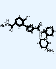 CCC(C)NC(=O)c1ccc(F)c(-c2nc(C(=O)Nc3cnccc3N3CCC[C@H](N)C3)cs2)c1